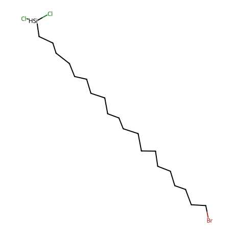 Cl[SiH](Cl)CCCCCCCCCCCCCCCCCCCCBr